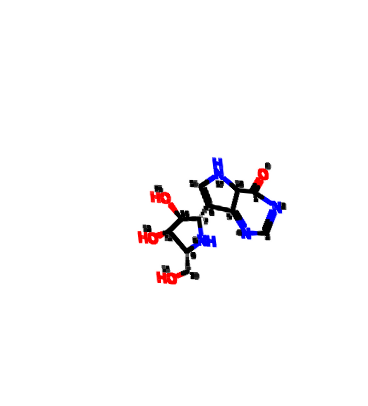 O=C1N=CN=C2C([C@@H]3N[C@H](CO)[C@@H](O)[C@H]3O)=CNC12